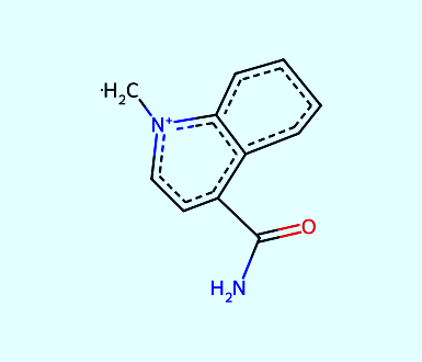 [CH2][n+]1ccc(C(N)=O)c2ccccc21